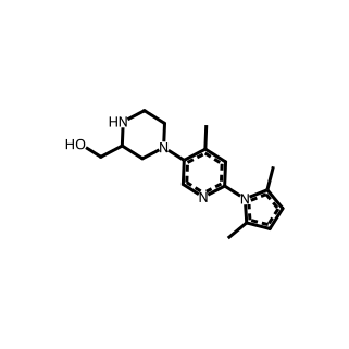 Cc1cc(-n2c(C)ccc2C)ncc1N1CCNC(CO)C1